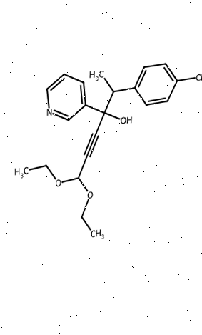 CCOC(C#CC(O)(c1cccnc1)C(C)c1ccc(Cl)cc1)OCC